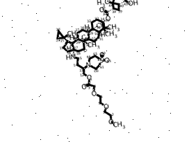 COCCOCCOCC(=O)OCC(CCN[C@]12CC[C@@H](C3(C)CC3)[C@@H]1[C@H]1CC[C@@H]3[C@@]4(C)CC[C@H](OC(=O)[C@H]5C[C@@H](C(=O)O)C5(C)C)C(C)(C)[C@@H]4CC[C@@]3(C)[C@]1(C)CC2)N1CCS(=O)(=O)CC1